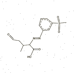 CC(CC=O)C(N=Nc1cccc(S(C)(=O)=O)c1)C(=O)O